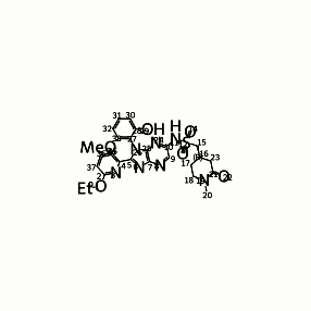 CCOC1=NC(c2nc3ncc(NS(=O)(=O)C[C@@H]4CCN(C)C(=O)C4)nc3n2-c2c(O)cccc2OC)=C=C=C1